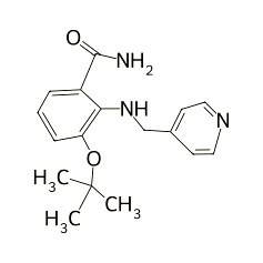 CC(C)(C)Oc1cccc(C(N)=O)c1NCc1ccncc1